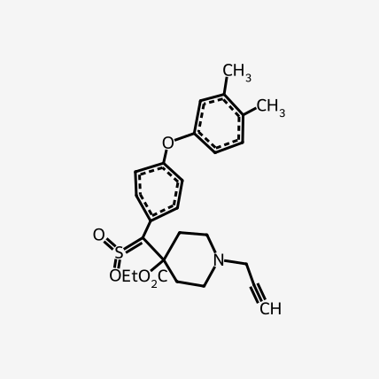 C#CCN1CCC(C(=O)OCC)(C(c2ccc(Oc3ccc(C)c(C)c3)cc2)=S(=O)=O)CC1